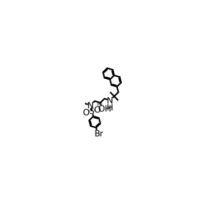 CN(C[C@H](O)CNC(C)(C)Cc1ccc2ccccc2c1)S(=O)(=O)c1ccc(Br)cc1